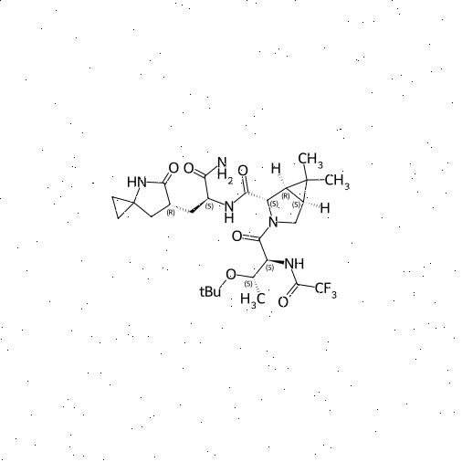 C[C@H](OC(C)(C)C)[C@H](NC(=O)C(F)(F)F)C(=O)N1C[C@H]2[C@@H]([C@H]1C(=O)N[C@@H](C[C@@H]1CC3(CC3)NC1=O)C(N)=O)C2(C)C